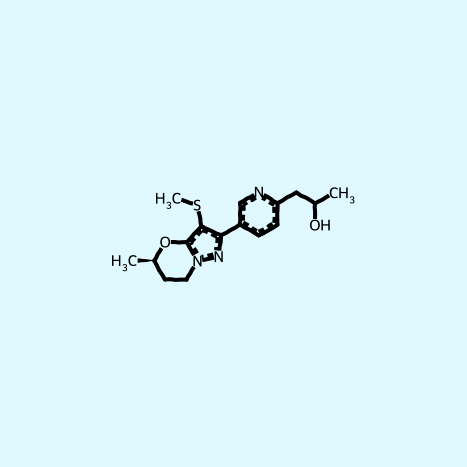 CSc1c(-c2ccc(CC(C)O)nc2)nn2c1O[C@H](C)CC2